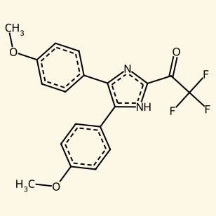 COc1ccc(-c2nc(C(=O)C(F)(F)F)[nH]c2-c2ccc(OC)cc2)cc1